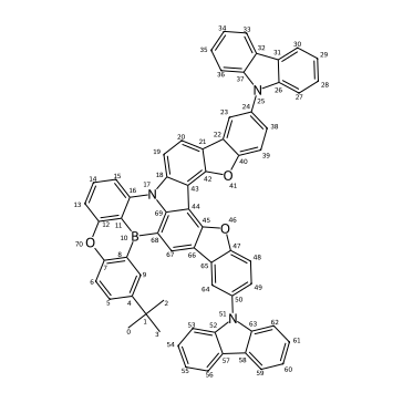 CC(C)(C)c1ccc2c(c1)B1c3c(cccc3-n3c4ccc5c6cc(-n7c8ccccc8c8ccccc87)ccc6oc5c4c4c5oc6ccc(-n7c8ccccc8c8ccccc87)cc6c5cc1c43)O2